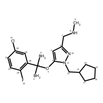 BC(B)(Oc1cc(CNC)nn1CC1CCCC1)c1cc(Cl)ccc1F